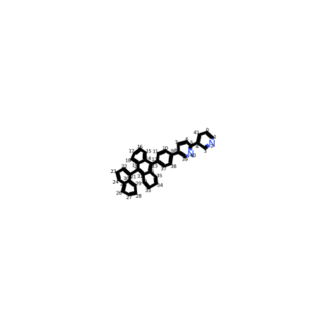 c1cncc(-c2ccc(-c3ccc(-c4c5ccccc5c(-c5cccc6ccccc56)c5ccccc45)cc3)cn2)c1